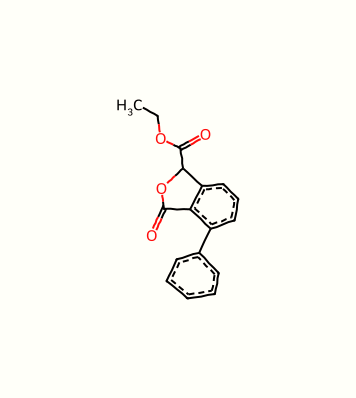 CCOC(=O)C1OC(=O)c2c(-c3ccccc3)cccc21